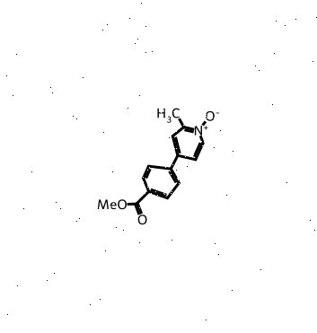 COC(=O)c1ccc(-c2cc[n+]([O-])c(C)c2)cc1